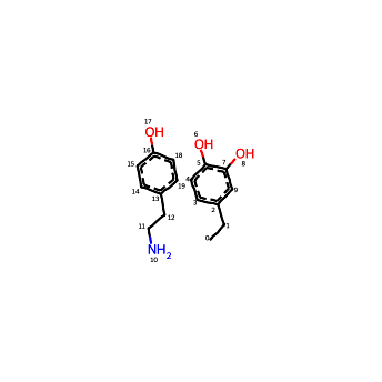 CCc1ccc(O)c(O)c1.NCCc1ccc(O)cc1